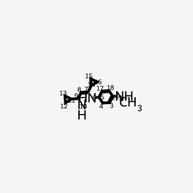 CNC1=CCC(N/C(=C\C(=N)C2CC2)C2CC2)C=C1